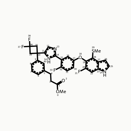 COC(=O)CCc1cccc(C2(c3cnc(-c4cc(Oc5c(F)cc6[nH]ccc6c5SC)ccc4F)[nH]3)CC(F)(F)C2)c1